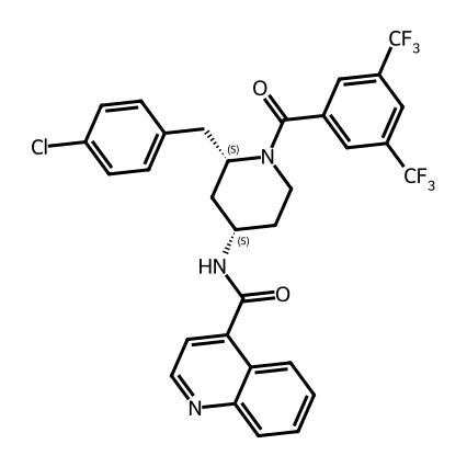 O=C(N[C@H]1CCN(C(=O)c2cc(C(F)(F)F)cc(C(F)(F)F)c2)[C@@H](Cc2ccc(Cl)cc2)C1)c1ccnc2ccccc12